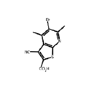 CCc1c(C)nc2sc(C(=O)O)c(C#N)c2c1C